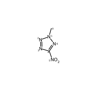 Cn1nnc([N+](=O)[O-])n1